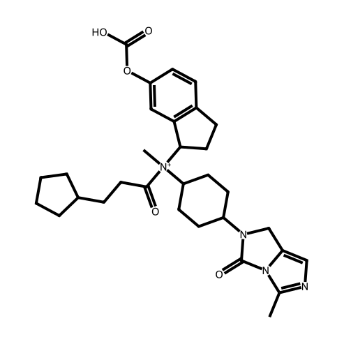 Cc1ncc2n1C(=O)N(C1CCC([N+](C)(C(=O)CCC3CCCC3)C3CCc4ccc(OC(=O)O)cc43)CC1)C2